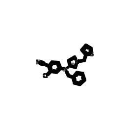 N#Cc1ccc(N(Cc2ccccc2)[C@H]2CCN(Cc3cccs3)C2)cc1Cl